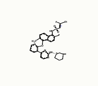 CC/C(F)=C/S(=O)(=O)Nc1c(F)ccc2c(Oc3ncccc3-c3ccnc(N[C@H]4CCCNC4)n3)c(C)ccc12